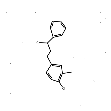 Clc1ccc(CCC(Cl)c2ccccc2)cc1Cl